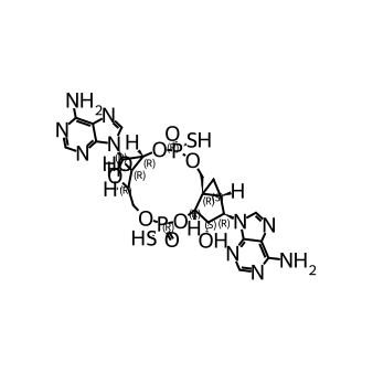 Nc1ncnc2c1ncn2[C@H]1[C@H](O)[C@@H]2O[P@](=O)(S)OC[C@H]3O[C@@H](n4cnc5c(N)ncnc54)[C@H](O[P@](=O)(S)OC[C@]24C[C@H]14)[C@@H]3O